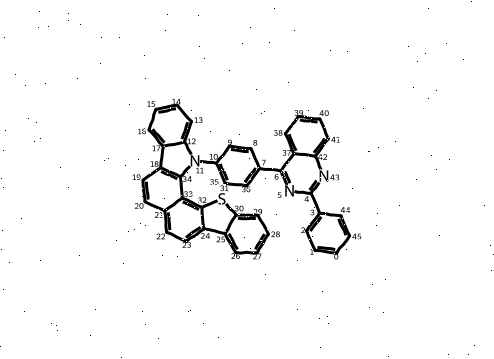 c1ccc(-c2nc(-c3ccc(-n4c5ccccc5c5ccc6ccc7c8ccccc8sc7c6c54)cc3)c3ccccc3n2)cc1